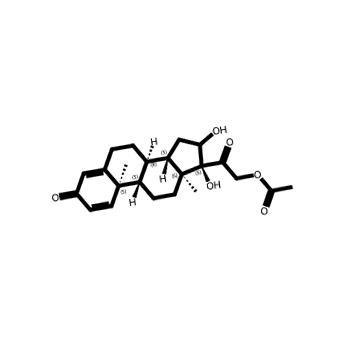 CC(=O)OCC(=O)[C@@]1(O)C(O)C[C@H]2[C@@H]3CCC4=CC(=O)C=C[C@]4(C)[C@H]3CC[C@@]21C